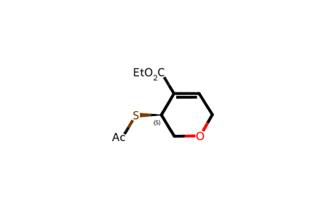 CCOC(=O)C1=CCOC[C@H]1SC(C)=O